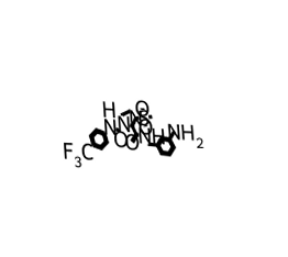 CS(=O)(=O)N1CCN(C(=O)Nc2ccc(C(F)(F)F)cc2)C1C(=O)NCc1cccc(N)c1